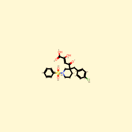 O=C(O)/C(O)=C/C(=O)C1(Cc2ccc(Cl)cc2)CCCN(S(=O)(=O)c2ccccc2)C1